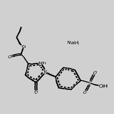 CCOC(=O)c1cc(=O)n(-c2ccc(S(=O)(=O)O)cc2)[nH]1.[NaH]